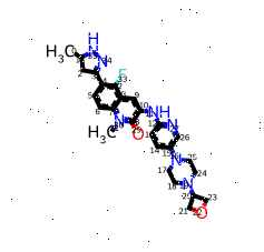 CC1CC(c2ccc3c(cc(Nc4ccc(N5CCN(C6COC6)CC5)cn4)c(=O)n3C)c2F)=NN1